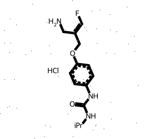 CC(C)NC(=O)Nc1ccc(OCC(=CF)CN)cc1.Cl